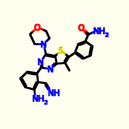 Cc1c(-c2cccc(C(N)=O)c2)sc2c(N3CCOCC3)nc(-c3cccc(N)c3C=N)nc12